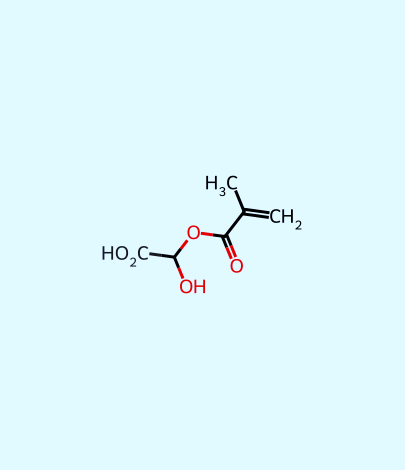 C=C(C)C(=O)OC(O)C(=O)O